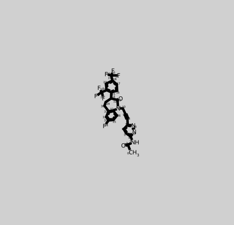 CC(=O)Nc1ccc(C#CCN2C(=O)C(c3ccc(C(F)(F)F)cc3C(F)(F)F)CCc3cc(F)ccc32)nn1